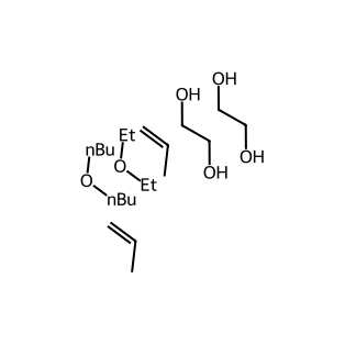 C=CC.C=CC.CCCCOCCCC.CCOCC.OCCO.OCCO